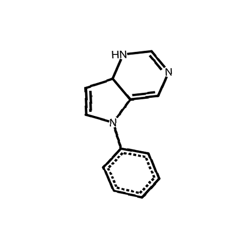 C1=CN(c2ccccc2)C2=CN=CNC12